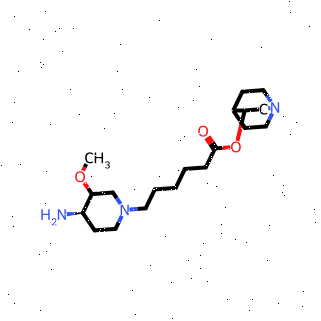 COC1CN(CCCCCC(=O)OC2CN3CCC2CC3)CC[C@H]1N